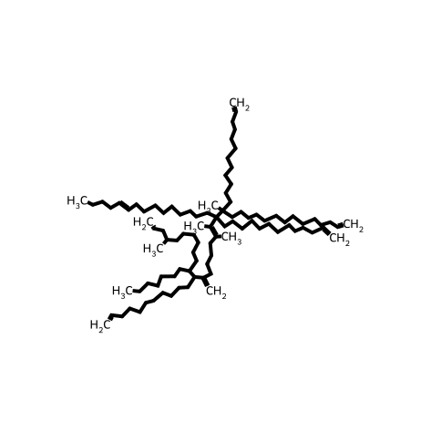 C=CCCCCCCCCCCCCC(C)(CCCCCCCCCCC=C)C(CCCCCCCCCC=CCCCC)(CCCCCCCCCCCC=C)C(C)=C(C)CCCCC(=C)C(CCCCCCCCCC=C)C(CCCCCCC)CCCCCCC(C)CC=C